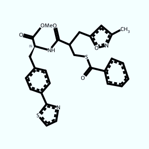 COC(=O)[C@H](Cc1ccc(-c2nccs2)cc1)NC(=O)C(CSC(=O)c1ccccc1)Cc1cc(C)no1